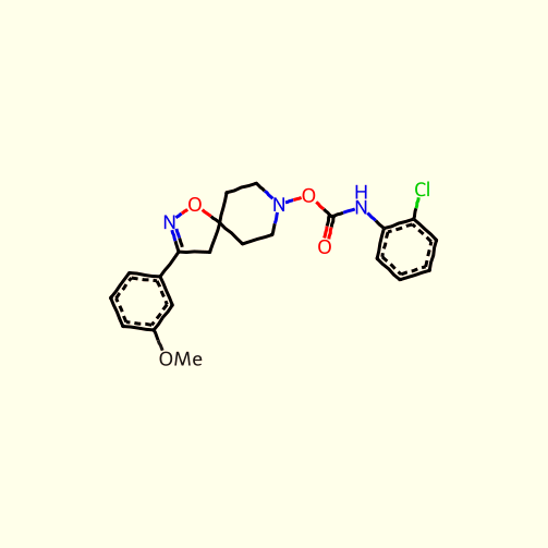 COc1cccc(C2=NOC3(CCN(OC(=O)Nc4ccccc4Cl)CC3)C2)c1